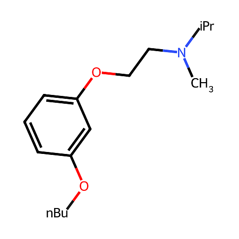 CCCCOc1cccc(OCCN(C)C(C)C)c1